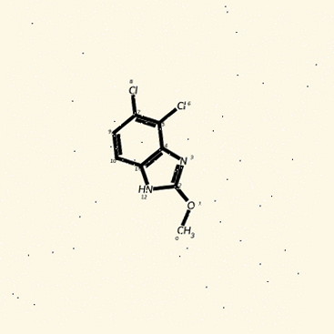 COc1nc2c(Cl)c(Cl)ccc2[nH]1